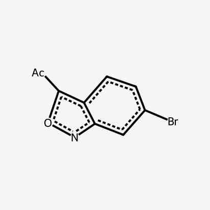 CC(=O)c1onc2cc(Br)ccc12